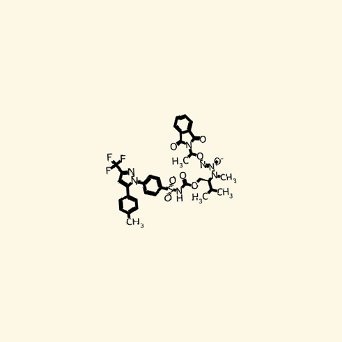 Cc1ccc(-c2cc(C(F)(F)F)nn2-c2ccc(S(=O)(=O)NC(=O)OC[C@H](C(C)C)N(C)/[N+]([O-])=N/OC(C)N3C(=O)c4ccccc4C3=O)cc2)cc1